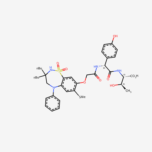 CCCCC1(CCCC)CN(c2ccccc2)c2cc(SC)c(OCC(=O)N[C@@H](C(=O)N[C@H](C(=O)O)[C@@H](C)O)c3ccc(O)cc3)cc2S(=O)(=O)N1